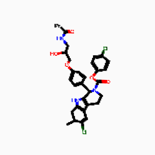 CC(C)C(=O)NCC(O)COc1ccc(C2c3[nH]c4c(c3CCN2C(=O)Oc2ccc(Cl)cc2)C=C(Cl)C(C)C4)cc1